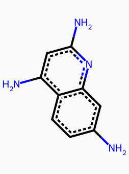 Nc1ccc2c(N)cc(N)nc2c1